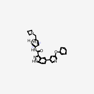 C=C(/C=C\C(=C/C)NC(=O)c1n[nH]c2ccc(-c3cncc(Oc4ccccc4)c3)cc12)CN1CCC1